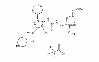 COCc1ccc(OC(F)(F)F)c(CNC(=O)Nc2c(C)c(OC[C@H]3CCNC[C@H]3F)nn2-c2ccccc2)c1.O=C(O)C(F)(F)F